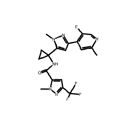 Cc1cc(-c2cc(C3(NC(=O)c4cc(C(F)(F)F)nn4C)CC3)n(C)n2)c(F)cn1